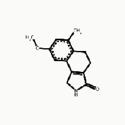 COc1cc(C)c2c(c1)C1=C(CC2)C(=O)NC1